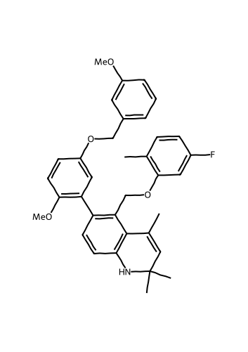 COc1cccc(COc2ccc(OC)c(-c3ccc4c(c3COc3cc(F)ccc3C)C(C)=CC(C)(C)N4)c2)c1